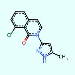 Cc1cc(-n2ccc3cccc(Cl)c3c2=O)n[nH]1